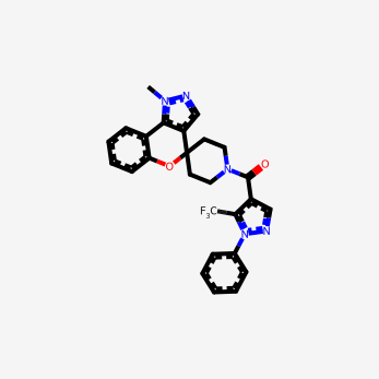 Cn1ncc2c1-c1ccccc1OC21CCN(C(=O)c2cnn(-c3ccccc3)c2C(F)(F)F)CC1